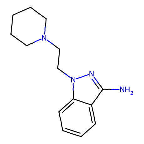 Nc1nn(CCN2CCCCC2)c2ccccc12